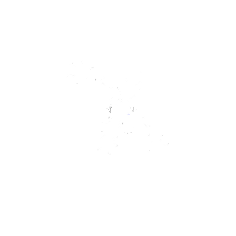 c1ccc(-c2ccc(/C3=N/c4cc5ccccc5cc4/C(c4ccc(-c5ccccc5)cc4)=N\c4cc5ccccc5cc43)cc2)cc1